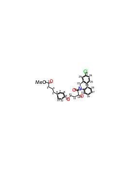 COC(=O)CCCc1ccc(OCCC2Oc3ccccc3N(Cc3cccc(Cl)c3)C2=O)cc1